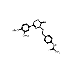 COc1ccc(C2=NN(CCc3ccc(NC(N)=O)cc3)C(=O)SC2)cc1OC